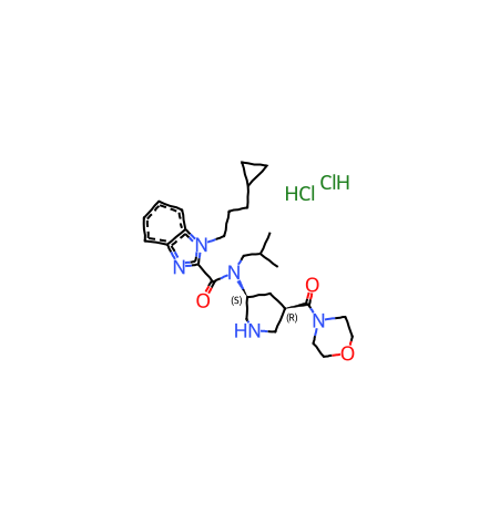 CC(C)CN(C(=O)c1nc2ccccc2n1CCCC1CC1)[C@@H]1CNC[C@H](C(=O)N2CCOCC2)C1.Cl.Cl